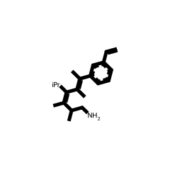 C=Cc1cccc(/C(C)=C(C)/C(=C(/C)C(C)CN)C(C)C)c1